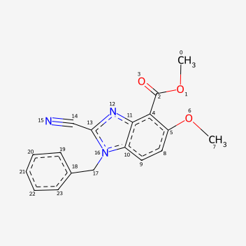 COC(=O)c1c(OC)ccc2c1nc(C#N)n2Cc1ccccc1